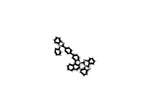 c1ccc(-n2c(-c3ccc(-c4ccc5c(c4)c4c6ccccc6ccc4n5-c4nc5ccccc5c5nc6ccccc6n45)cc3)nc3ccccc32)cc1